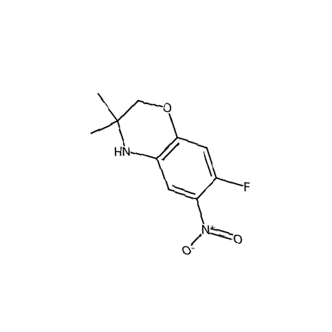 CC1(C)COc2cc(F)c([N+](=O)[O-])cc2N1